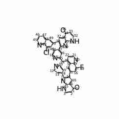 O=c1cc[nH]c2nc(-c3ccncc3)c(-c3cc(F)c4nccc(Cc5cc(-c6nc7[nH]ccc(=O)c7cc6-c6cc(Cl)c7ncccc7c6)ccn5)c4c3)cc12